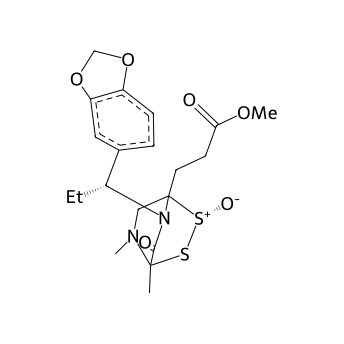 CC[C@H](c1ccc2c(c1)OCO2)N1C(=O)C2(C)S[S@@+]([O-])C1(CCC(=O)OC)CN2C